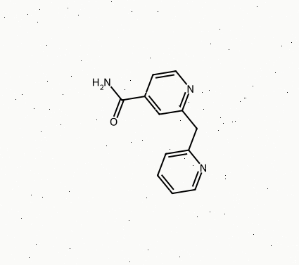 NC(=O)c1ccnc(Cc2ccccn2)c1